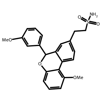 COc1cccc(C2Oc3cccc(OC)c3-c3ccc(CCS(N)(=O)=O)cc32)c1